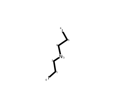 ICC[N]CCI